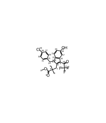 COC(=O)C(C)(C)Cc1c(C(=O)C(F)(F)F)c2cc(O)ccc2n1Cc1ccc(Cl)cc1